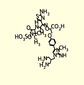 Cn1c(-c2ccc(OCC(O/N=C(\C(=O)NC3C(=O)N(OS(=O)(=O)O)C3(C)C)c3csc(N)n3)C(=O)O)cc2)cn(CC(CN)CN)c1=N